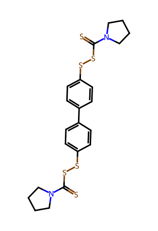 S=C(SSc1ccc(-c2ccc(SSC(=S)N3CCCC3)cc2)cc1)N1CCCC1